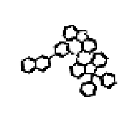 c1ccc(C2(c3ccccc3)c3ccccc3-c3c(N(c4cccc(-c5ccc6ccccc6c5)c4)c4cccc5sc6ccccc6c45)cccc32)cc1